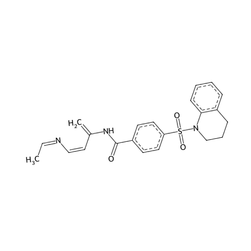 C=C(/C=C\N=C/C)NC(=O)c1ccc(S(=O)(=O)N2CCCc3ccccc32)cc1